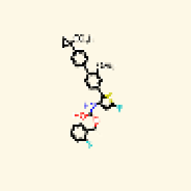 COc1cc(-c2sc(F)cc2NC(O)O[C@H](C)c2ccccc2F)ccc1-c1ccc(C2(C(=O)O)CC2)cc1